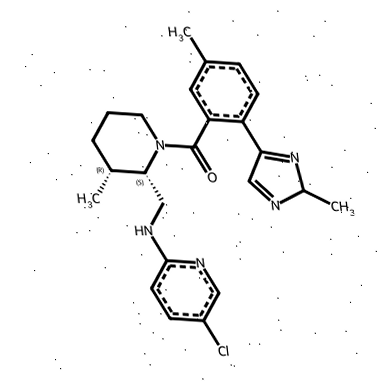 Cc1ccc(C2=NC(C)N=C2)c(C(=O)N2CCC[C@@H](C)[C@H]2CNc2ccc(Cl)cn2)c1